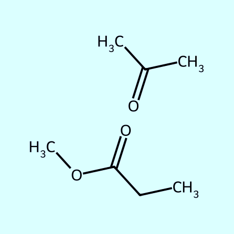 CC(C)=O.CCC(=O)OC